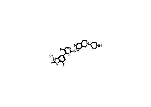 Cc1nc2c(F)cc(-c3nc(Nc4cc5c(cn4)CCN(C4CCNCC4)C5)ncc3F)cc2n1C(C)C